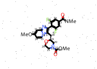 CNC(=O)c1cc(F)c(-c2nc3cc(OC)ccn3c2C[C@H]2CN(C(=O)OC)CCO2)c(F)c1